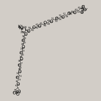 O=S(=O)([O-])CCCOCCOCCOCCOCCOCCOCCOCCOCCOc1ccccc1OCCOCCOCCOCCOCCOCCOCCOCCOCCCS(=O)(=O)[O-].[K+].[K+]